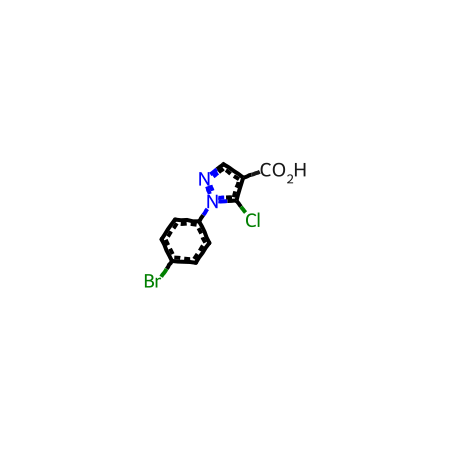 O=C(O)c1cnn(-c2ccc(Br)cc2)c1Cl